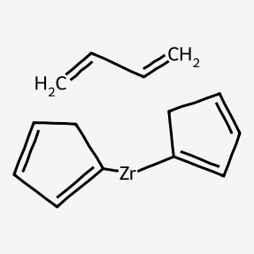 C1=CC[C]([Zr][C]2=CC=CC2)=C1.C=CC=C